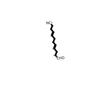 N#CCCC=CCCC=CCCC=O